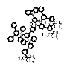 CC(C)(C)c1cccc(-c2cccc([Si](c3ccccc3)(c3ccccc3)c3cc(-c4ccc5c(c4)Oc4cc(-n6c7ccccc7c7ccccc76)cc6c4B5c4ccc(-c5cc(C(C)(C)C)cc(C(C)(C)C)c5)cc4N6c4cc(-c5ccccc5)cc(-c5ccccc5)c4)cc([Si](c4ccccc4)(c4ccccc4)c4cc(-c5ccccc5)cc(-c5ccccc5)c4)c3)c2)c1